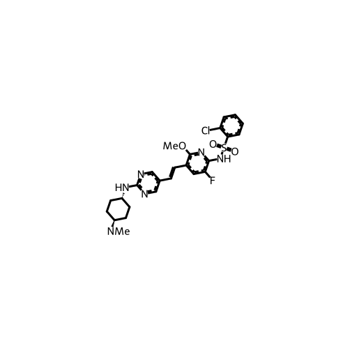 CN[C@H]1CC[C@H](Nc2ncc(/C=C/c3cc(F)c(NS(=O)(=O)c4ccccc4Cl)nc3OC)cn2)CC1